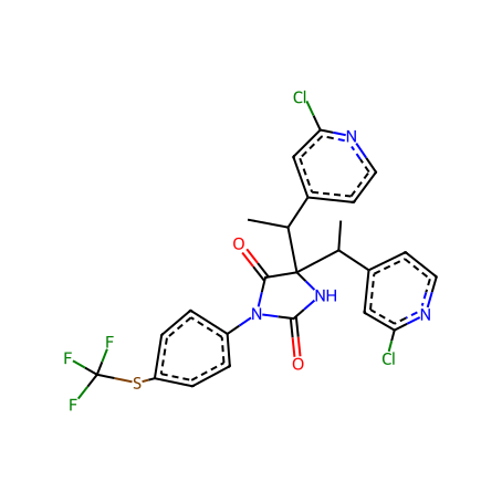 CC(c1ccnc(Cl)c1)C1(C(C)c2ccnc(Cl)c2)NC(=O)N(c2ccc(SC(F)(F)F)cc2)C1=O